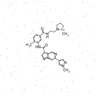 Cc1ccc(C(=O)NCCN2CCC[C@@H]2C)cc1NC(=O)c1cnn2cc(-c3cnn(C)c3)ncc12